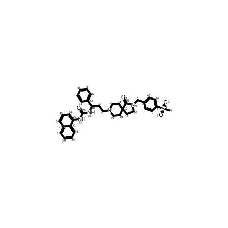 CS(=O)(=O)c1ccc(CN2CCC3(CCN(CCC(NC(=O)Nc4cccc5ccccc45)c4ccccc4)CC3)C2=O)cc1